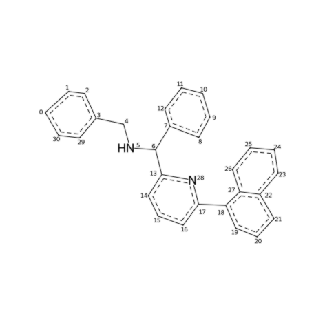 c1ccc(CNC(c2ccccc2)c2cccc(-c3cccc4ccccc34)n2)cc1